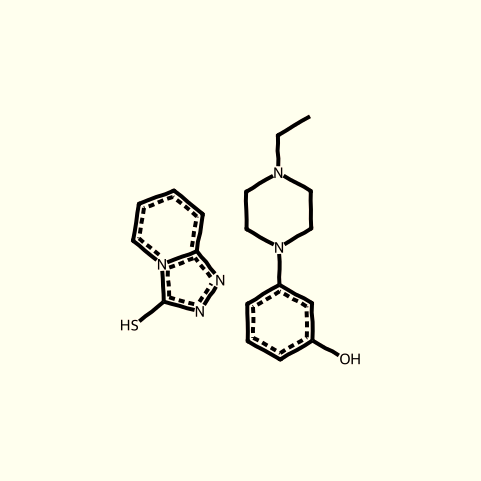 CCN1CCN(c2cccc(O)c2)CC1.Sc1nnc2ccccn12